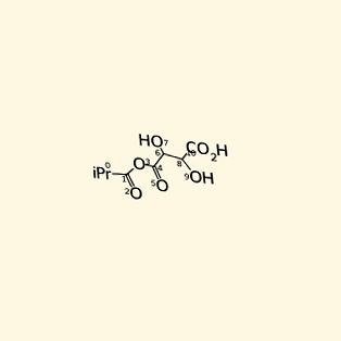 CC(C)C(=O)OC(=O)C(O)C(O)C(=O)O